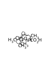 CCCOc1cc2c(cc1[C@H]1CCC[C@H]1C=CC(C)=CC(=O)O)C(C)(C)CCC2(C)C